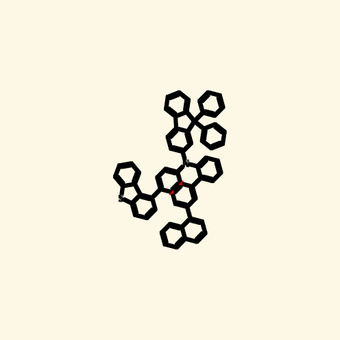 c1ccc(C2(c3ccccc3)c3ccccc3-c3ccc(N(c4ccc(-c5cccc6sc7ccccc7c56)cc4)c4ccccc4-c4cccc(-c5cccc6ccccc56)c4)cc32)cc1